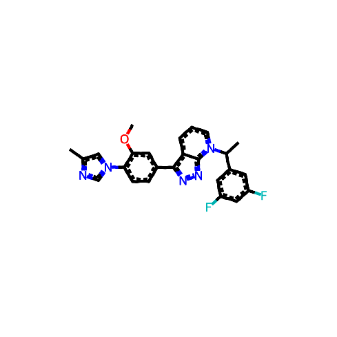 COc1cc(-c2nnc3n(C(C)c4cc(F)cc(F)c4)cccc2-3)ccc1-n1cnc(C)c1